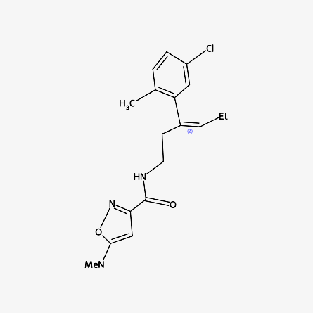 CC/C=C(/CCNC(=O)c1cc(NC)on1)c1cc(Cl)ccc1C